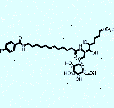 CCCCCCCCCCCCCCC(O)C(O)C(CO[C@H]1O[C@H](CO)[C@H](O)[C@H](O)[C@H]1O)NC(=O)CCCCCCCCCCCNC(=O)c1ccc(F)cc1